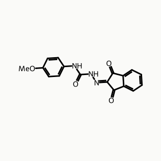 COc1ccc(NC(=O)NN=c2c(=O)c3ccccc3c2=O)cc1